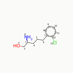 N[C@H](CO)CCCc1ccccc1Cl